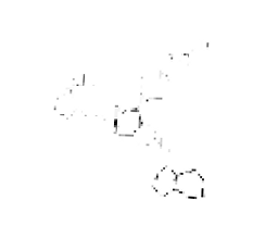 CN1CCC[C@H]1COc1nc2c(c(N3CCN(C(=O)OC(C)(C)C)CC3)n1)CN(Cc1cccc3ccccc13)C2